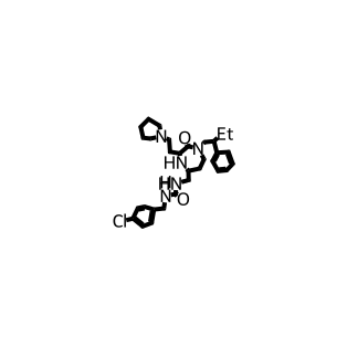 CCC(CN1CCC(CNC(=O)NCc2ccc(Cl)cc2)NC(CCN2CCCCC2)C1=O)c1ccccc1